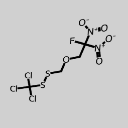 O=[N+]([O-])C(F)(COCSSC(Cl)(Cl)Cl)[N+](=O)[O-]